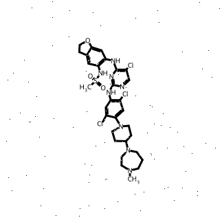 CN1CCCN(C2CCN(c3cc(Cl)c(Nc4ncc(Cl)c(Nc5cc6c(cc5NS(C)(=O)=O)CCO6)n4)cc3Cl)CC2)CC1